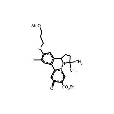 CCOC(=O)c1cn2c(cc1=O)-c1cc(I)c(OCCCOC)cc1C1CCC(C)(C)N12